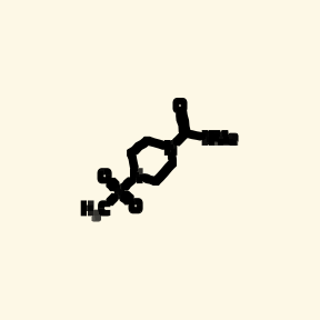 CNC(=O)N1CCN(S(C)(=O)=O)CC1